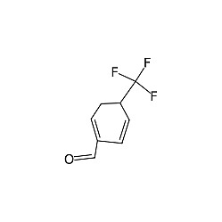 O=CC1=CCC(C(F)(F)F)C=C1